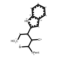 CCCCCC(Br)C(Cl)C(CC(=O)O)c1cc2ccccc2[nH]1